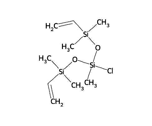 C=C[Si](C)(C)O[Si](C)(Cl)O[Si](C)(C)C=C